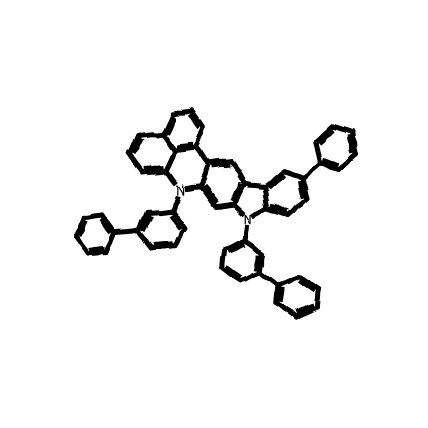 c1ccc(-c2cccc(N3c4cc5c(cc4-c4cccc6cccc3c46)c3cc(-c4ccccc4)ccc3n5-c3cccc(-c4ccccc4)c3)c2)cc1